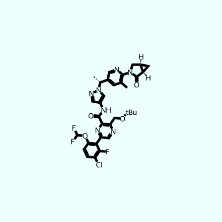 Cc1cc([C@@H](C)n2cc(NC(=O)c3nc(-c4c(OC(F)F)ccc(Cl)c4F)cnc3COC(C)(C)C)cn2)cnc1N1C[C@H]2C[C@H]2C1=O